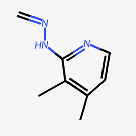 C=NNc1nccc(C)c1C